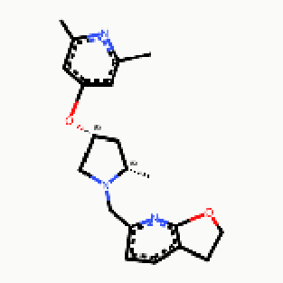 Cc1cc(O[C@@H]2C[C@H](C)N(Cc3ccc4c(n3)OCC4)C2)cc(C)n1